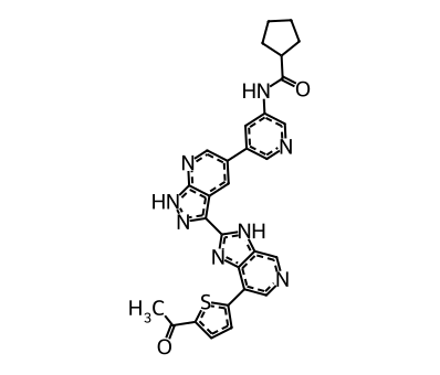 CC(=O)c1ccc(-c2cncc3[nH]c(-c4n[nH]c5ncc(-c6cncc(NC(=O)C7CCCC7)c6)cc45)nc23)s1